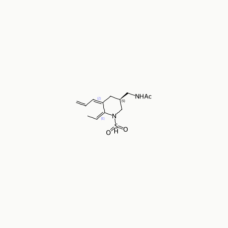 C=C/C=C1/C[C@@H](CNC(C)=O)CN([SH](=O)=O)/C1=C/C